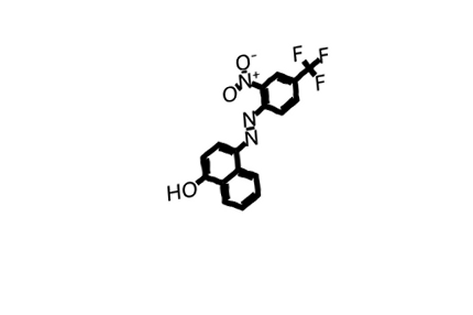 O=[N+]([O-])c1cc(C(F)(F)F)ccc1/N=N/c1ccc(O)c2ccccc12